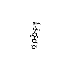 CC(=O)NC[C@H]1CN(c2cc(F)c(-c3ccc(-c4nccs4)c(F)c3)c(F)c2)C(=O)O1